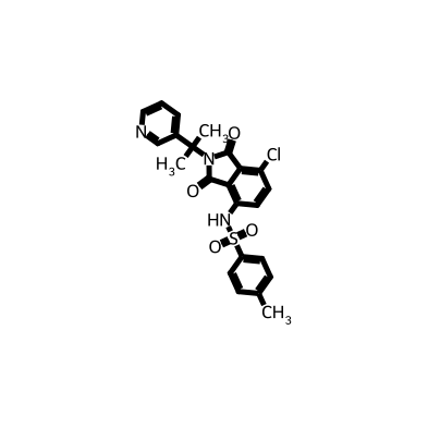 Cc1ccc(S(=O)(=O)Nc2ccc(Cl)c3c2C(=O)N(C(C)(C)c2cccnc2)C3=O)cc1